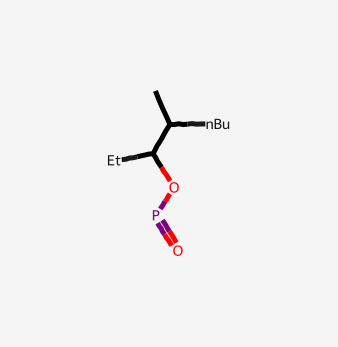 CCCCC(C)C(CC)OP=O